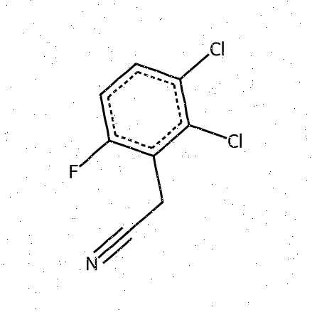 N#CCc1c(F)ccc(Cl)c1Cl